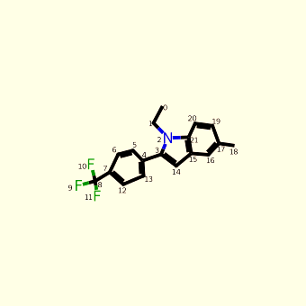 CCn1c(-c2ccc(C(F)(F)F)cc2)cc2cc(C)ccc21